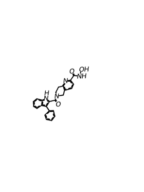 O=C(NO)c1ccc2c(n1)CCN(C(=O)c1[nH]c3ccccc3c1-c1ccccc1)C2